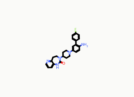 Nc1ccc(N2CCC(N3CCc4ncccc4NC3=O)CC2)cc1-c1ccc(F)cc1